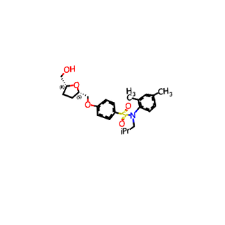 Cc1ccc(N(CC(C)C)S(=O)(=O)c2ccc(OC[C@@H]3CC[C@H](CO)O3)cc2)c(C)c1